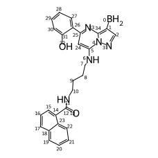 Bc1cnn2c(NCCCCNC(=O)c3cccc4ccccc34)cc(-c3ccccc3O)nc12